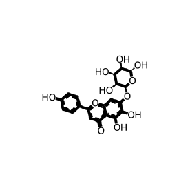 O=c1cc(-c2ccc(O)cc2)oc2cc(O[C@@H]3O[C@@H](O)[C@H](O)[C@H](O)[C@@H]3O)c(O)c(O)c12